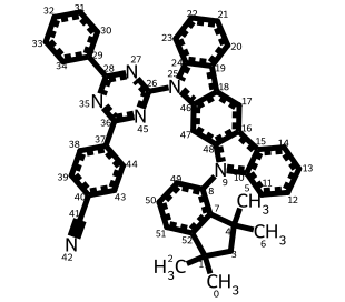 CC1(C)CC(C)(C)c2c(-n3c4ccccc4c4cc5c6ccccc6n(-c6nc(-c7ccccc7)nc(-c7ccc(C#N)cc7)n6)c5cc43)cccc21